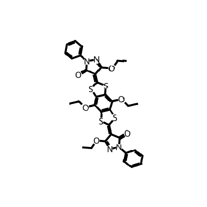 CCOC1=NN(c2ccccc2)C(=O)C1=C1Sc2c(OCC)c3c(c(OCC)c2S1)SC(=C1C(=O)N(c2ccccc2)N=C1OCC)S3